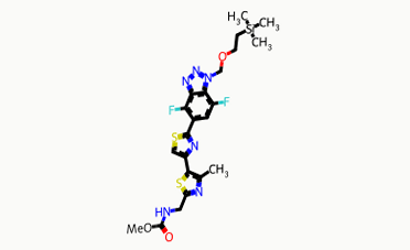 COC(=O)NCc1nc(C)c(-c2csc(-c3cc(F)c4c(nnn4COCC[Si](C)(C)C)c3F)n2)s1